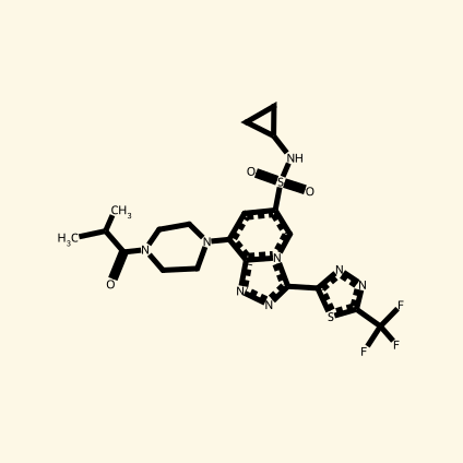 CC(C)C(=O)N1CCN(c2cc(S(=O)(=O)NC3CC3)cn3c(-c4nnc(C(F)(F)F)s4)nnc23)CC1